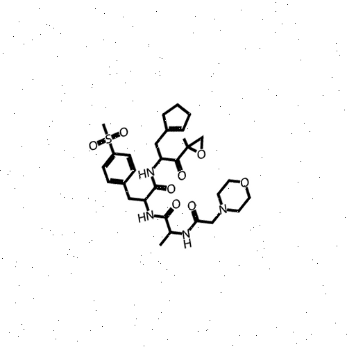 CC(NC(=O)CN1CCOCC1)C(=O)NC(Cc1ccc(S(C)(=O)=O)cc1)C(=O)NC(CC1=CCCC1)C(=O)C1(C)CO1